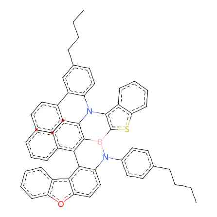 CCCCc1ccc(N2B3c4sc5ccccc5c4N(c4ccc(CCCC)cc4-c4ccccc4)c4cc5ccccc5c(c43)-c3c2ccc2oc4ccccc4c32)cc1